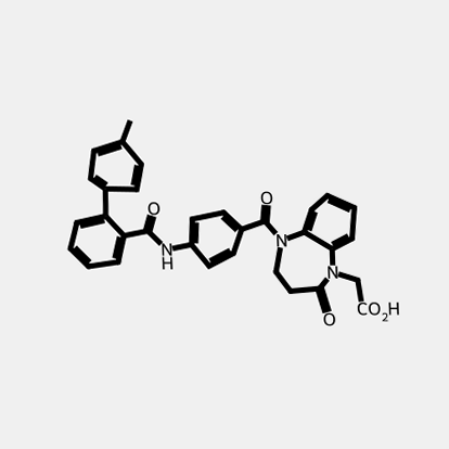 Cc1ccc(-c2ccccc2C(=O)Nc2ccc(C(=O)N3CCC(=O)N(CC(=O)O)c4ccccc43)cc2)cc1